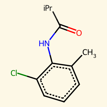 Cc1cccc(Cl)c1NC(=O)C(C)C